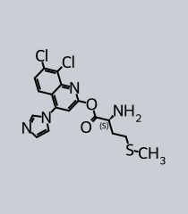 CSCC[C@H](N)C(=O)Oc1cc(-n2ccnc2)c2ccc(Cl)c(Cl)c2n1